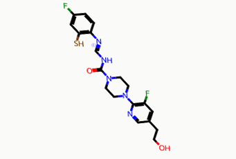 O=C(N/C=N/c1ccc(F)cc1S)N1CCN(c2ncc(CCO)cc2F)CC1